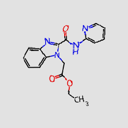 CCOC(=O)Cn1c(C(=O)Nc2ccccn2)nc2ccccc21